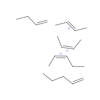 C/C=C/C.C/C=C\C.C/C=C\CC.C=CCC.C=CCCC